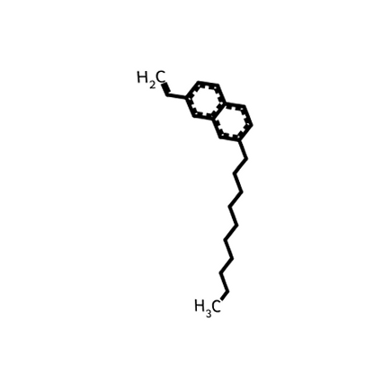 C=Cc1ccc2ccc(CCCCCCCCCC)cc2c1